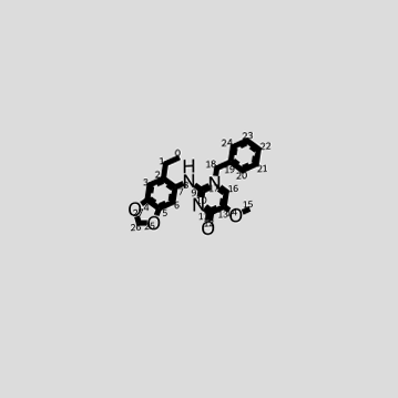 CCc1cc2c(cc1Nc1nc(=O)c(OC)cn1Cc1ccccc1)OCO2